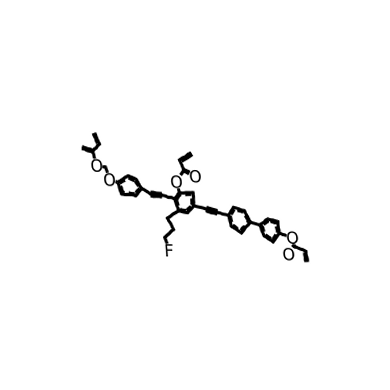 C=CC(=C)OCOc1ccc(C#Cc2c(CCCF)cc(C#Cc3ccc(-c4ccc(OC(=O)C=C)cc4)cc3)cc2OC(=O)C=C)cc1